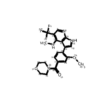 CNc1c(C(F)(F)F)cnc2[nH]cc(-c3ccc(C(=O)N4CCOCC4)cc3OC)c12